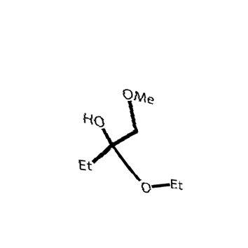 CCOC(O)(CC)COC